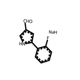 O=Cc1c[nH]c(-c2ccccc2F)c1.[NaH]